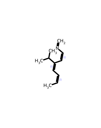 C=N\C=C/C(=C\C=C/C)C(C)C